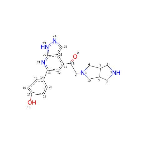 O=C(CN1CC2CNCC2C1)c1cc(-c2ccc(O)cc2)nc2[nH]ncc12